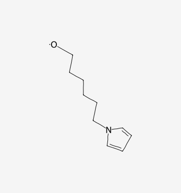 [O]CCCCCCn1cccc1